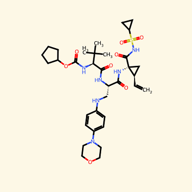 C=C[C@@H]1C[C@]1(NC(=O)[C@H](CNc1ccc(N2CCOCC2)cc1)NC(=O)[C@@H](NC(=O)OC1CCCC1)C(C)(C)C)C(=O)NS(=O)(=O)C1CC1